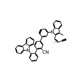 C#C/C=C\c1c(C)c2ccccc2n1-c1cc#cc(-c2ccc(-c3ccccc3-n3c4ccccc4c4ccccc43)c(C#N)c2)c1